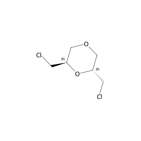 ClC[C@H]1COC[C@H](CCl)O1